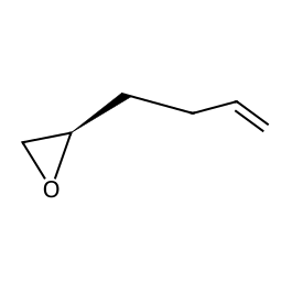 C=CCC[C@@H]1CO1